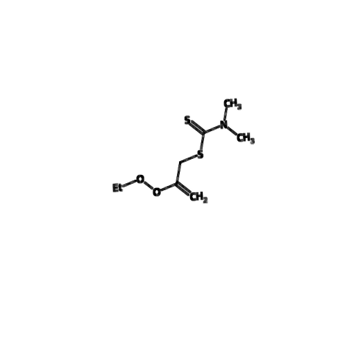 C=C(CSC(=S)N(C)C)OOCC